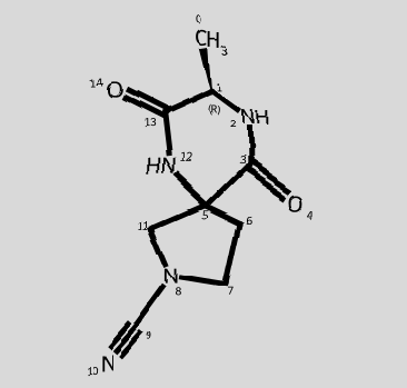 C[C@H]1NC(=O)C2(CCN(C#N)C2)NC1=O